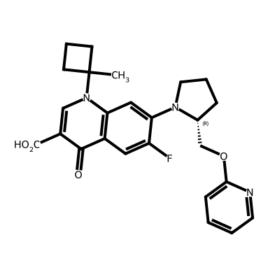 CC1(n2cc(C(=O)O)c(=O)c3cc(F)c(N4CCC[C@@H]4COc4ccccn4)cc32)CCC1